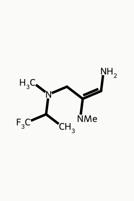 CN/C(=C/N)CN(C)C(C)C(F)(F)F